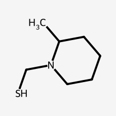 CC1CCCCN1CS